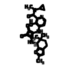 Cc1cc2c(o1)[C@H](Nc1c(Nc3ccnc(C(=O)N(C)C4CC4)c3O)c(=O)c1=O)C(C)(C)CC2